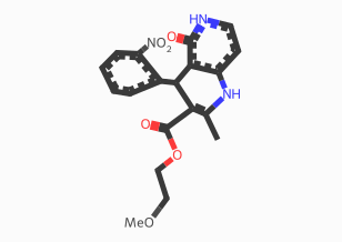 COCCOC(=O)C1=C(C)Nc2cc[nH]c(=O)c2C1c1ccccc1[N+](=O)[O-]